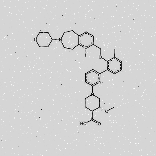 CO[C@H]1CN(c2cccc(-c3cccc(C)c3OCc3ccc4c(c3C)CCN(C3CCOCC3)CC4)n2)CC[C@@H]1C(=O)O